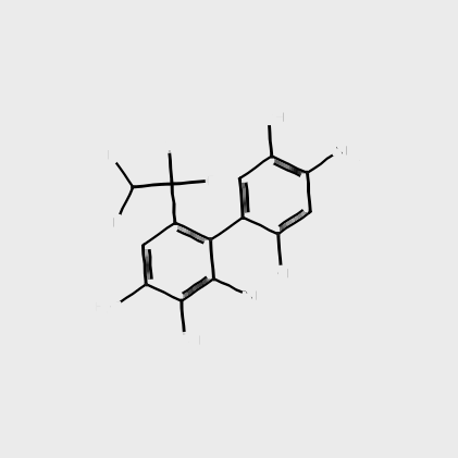 Nc1cc(C(F)(F)F)c(-c2c(C(F)(C(F)F)C(F)(F)F)cc(C(F)(F)F)c(O)c2N)cc1O